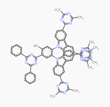 Cc1nc(C)nc(-c2ccc3c(c2)c2cc(-c4nc(C)nc(C)n4)ccc2n3-c2cc(C#N)c(-c3nc(-c4ccccc4)nc(-c4ccccc4)n3)cc2-n2c3ccc(-c4nc(C)nc(C)n4)cc3c3cc(-c4nc(C)nc(C)n4)ccc32)n1